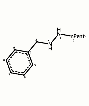 CCCC[CH]NNCc1ccccc1